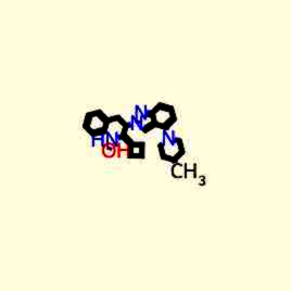 CC1CCN(c2cccc3nn(C(Cc4ccccc4)C(NO)=C4CCC4)cc23)CC1